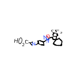 O=C(O)C1CN(Cc2ccc(-c3noc(CCC4(c5ccc(C(F)(F)F)cc5)CCCCC4)n3)cc2)C1